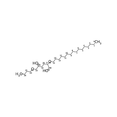 CCCCCCCCCCCCCCCCOC([CH]CC(O)COCCCC)CO